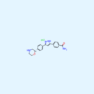 Cl.NC(=O)c1ccc(-c2cc(-c3ccc([C@H]4CNCCO4)cc3)n[nH]2)cc1